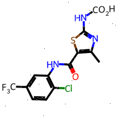 Cc1nc(NC(=O)O)sc1C(=O)Nc1cc(C(F)(F)F)ccc1Cl